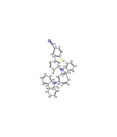 CC1C=Cc2c(sc3ccc(C#N)cc23)C1n1c2c(c3ccccc31)CC#CC(N1c3ccccc3C3CCC=CC31C)=C2